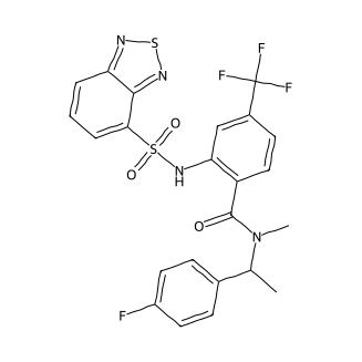 CC(c1ccc(F)cc1)N(C)C(=O)c1ccc(C(F)(F)F)cc1NS(=O)(=O)c1cccc2nsnc12